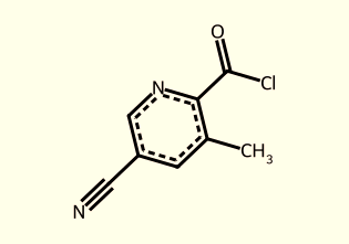 Cc1cc(C#N)cnc1C(=O)Cl